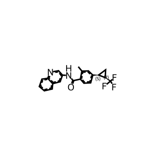 Cc1cc([C@H]2C[C@H]2C(F)(F)F)ccc1C(=O)Nc1cnc2ccccc2c1